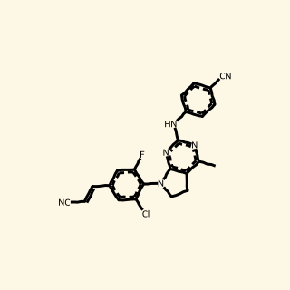 Cc1nc(Nc2ccc(C#N)cc2)nc2c1CCN2c1c(F)cc(/C=C/C#N)cc1Cl